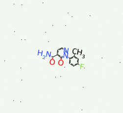 Cc1cc(F)ccc1-n1nccc(C(N)=O)c1=O